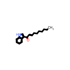 CCCCCCCC=CC(=O)c1c[nH]c2ccccc12